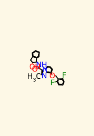 Cc1nc2c(OCc3c(F)cccc3F)cccn2c1C(=O)N[C@H]1c2ccccc2C[C@H]1O